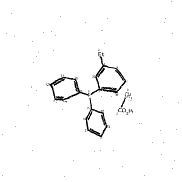 CC(=O)O.CCc1cccc(P(c2ccccc2)c2ccccc2)c1